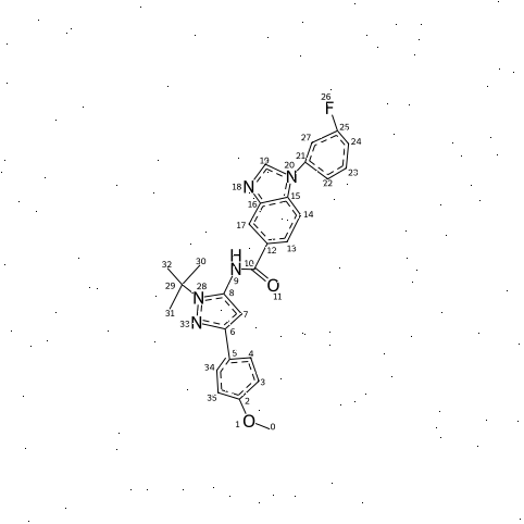 COc1ccc(-c2cc(NC(=O)c3ccc4c(c3)ncn4-c3cccc(F)c3)n(C(C)(C)C)n2)cc1